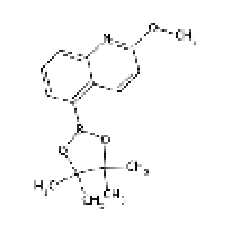 COc1ccc2c(B3OC(C)(C)C(C)(C)O3)cccc2n1